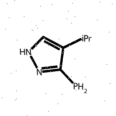 CC(C)c1c[nH]nc1P